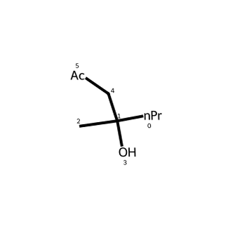 CCCC(C)(O)CC(C)=O